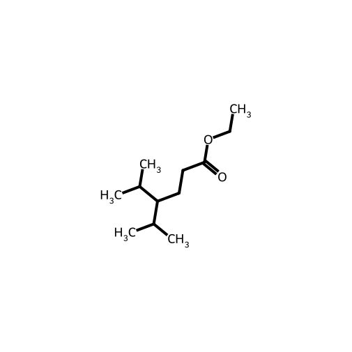 CCOC(=O)CCC(C(C)C)C(C)C